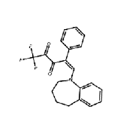 O=C(C(=O)C(F)(F)F)/C(=C\N1CCCCc2ccccc21)c1ccccc1